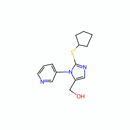 OCc1cnc(SC2CCCC2)n1-c1cccnc1